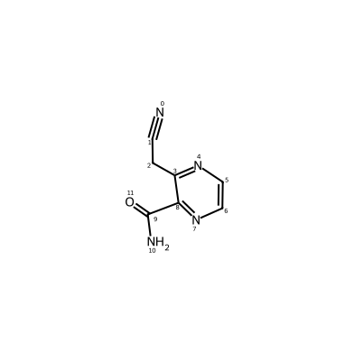 N#CCc1nccnc1C(N)=O